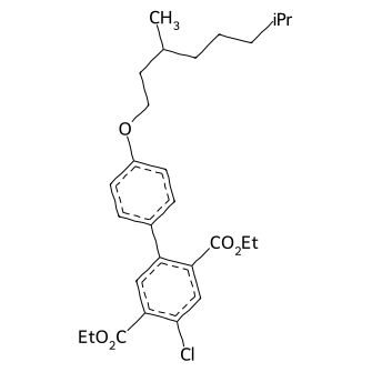 CCOC(=O)c1cc(-c2ccc(OCCC(C)CCCC(C)C)cc2)c(C(=O)OCC)cc1Cl